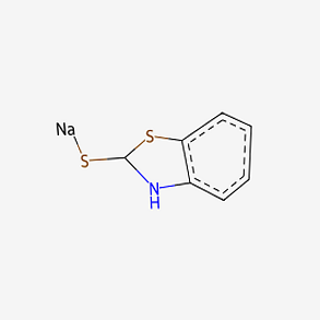 [Na][S]C1Nc2ccccc2S1